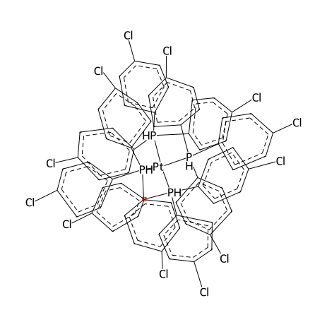 Clc1ccc([PH](c2ccc(Cl)cc2)(c2ccc(Cl)cc2)[Pt]([PH](c2ccc(Cl)cc2)(c2ccc(Cl)cc2)c2ccc(Cl)cc2)([PH](c2ccc(Cl)cc2)(c2ccc(Cl)cc2)c2ccc(Cl)cc2)[PH](c2ccc(Cl)cc2)(c2ccc(Cl)cc2)c2ccc(Cl)cc2)cc1